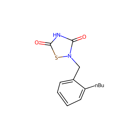 CCCCc1ccccc1Cn1sc(=O)[nH]c1=O